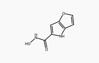 O=C(NO)c1cc2occc2[nH]1